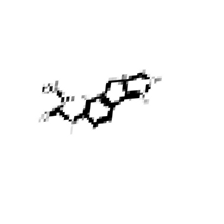 CC(C)(C)OC(=O)Nc1ccc2c(c1)CC1CON=C21